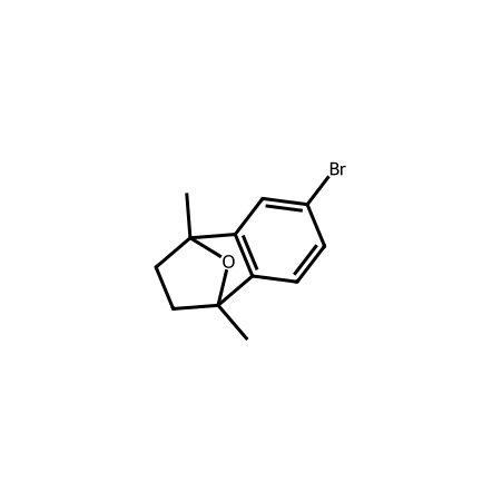 CC12CCC(C)(O1)c1cc(Br)ccc12